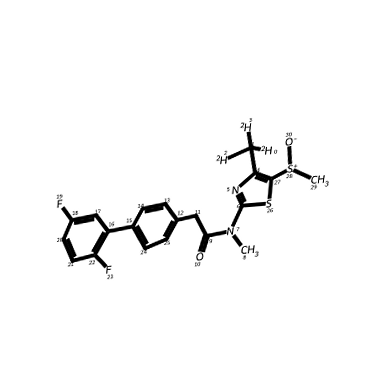 [2H]C([2H])([2H])c1nc(N(C)C(=O)Cc2ccc(-c3cc(F)ccc3F)cc2)sc1[S+](C)[O-]